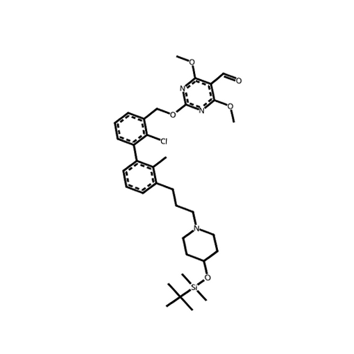 COc1nc(OCc2cccc(-c3cccc(CCCN4CCC(O[Si](C)(C)C(C)(C)C)CC4)c3C)c2Cl)nc(OC)c1C=O